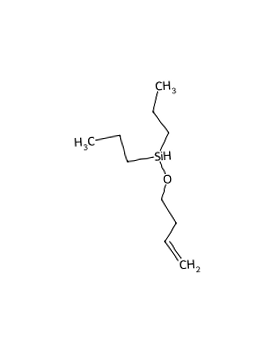 C=CCCO[SiH](CCC)CCC